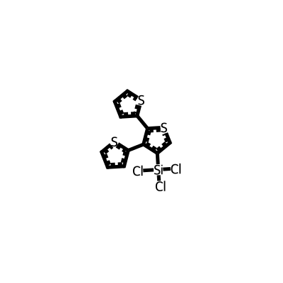 Cl[Si](Cl)(Cl)c1csc(-c2cccs2)c1-c1cccs1